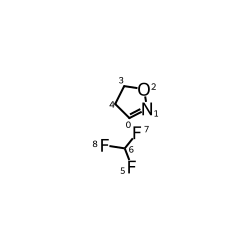 C1=NOCC1.FC(F)F